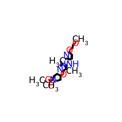 COCCOc1ccc(Nc2ncnc(OC3CCN(C(=O)OC(C)C)CC3)c2C)c(C)n1